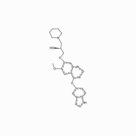 COc1cc2c(Oc3ccc4[nH]ccc4c3)ncnc2cc1OC[C@@H](O)CN1CCCCC1